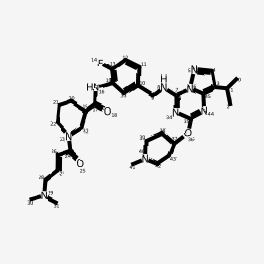 CC(C)c1cnn2c(NCc3ccc(F)c(NC(=O)C4CCCN(C(=O)/C=C/CN(C)C)C4)c3)nc(OC3CCN(C)CC3)nc12